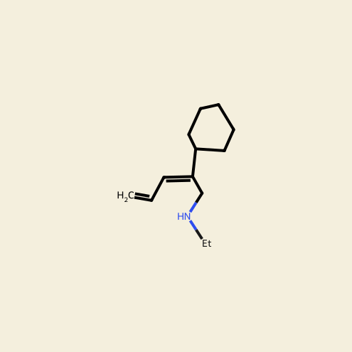 C=C/C=C(\CNCC)C1CCCCC1